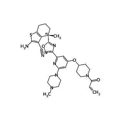 C=CC(=O)N1CCC(Oc2cc(-c3noc([C@@]4(C)CCCc5sc(N)c(C#N)c54)n3)nc(N3CCN(C)CC3)c2)CC1